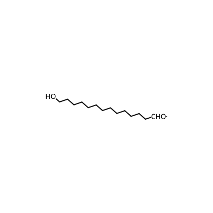 O=[C]CCCCCCCCCCCCCO